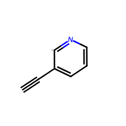 C#Cc1[c]nccc1